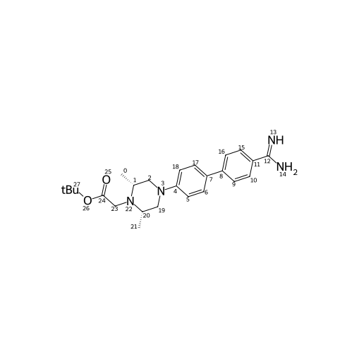 C[C@@H]1CN(c2ccc(-c3ccc(C(=N)N)cc3)cc2)C[C@H](C)N1CC(=O)OC(C)(C)C